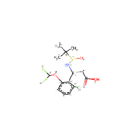 CC(C)(C)[S+]([O-])N[C@H](CC(=O)O)c1c(Cl)cccc1OC(F)F